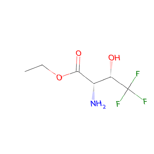 CCOC(=O)[C@@H](N)[C@H](O)C(F)(F)F